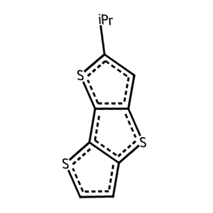 CC(C)c1cc2sc3ccsc3c2s1